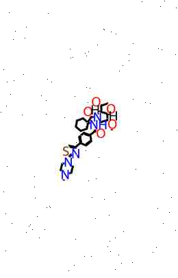 CO[C@@H]1CN(C(=O)C2(NC(=O)c3ccc(-c4csc(N5CCN(C)CC5)n4)cc3)CCCCC2)[C@@H]2C(=O)CO[C@@H]21